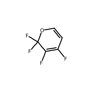 FC1=C(F)C(F)(F)OC=C1